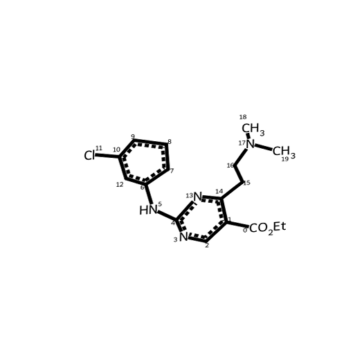 CCOC(=O)c1cnc(Nc2cccc(Cl)c2)nc1CCN(C)C